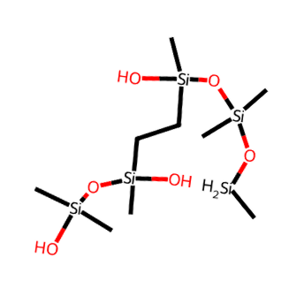 C[SiH2]O[Si](C)(C)O[Si](C)(O)CC[Si](C)(O)O[Si](C)(C)O